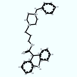 O=C(OCCCN1CCN(Cc2ccccc2)CC1)C1c2ccccc2Oc2ccccc21